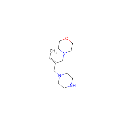 CC=C(CN1CCNCC1)CN1CCOCC1